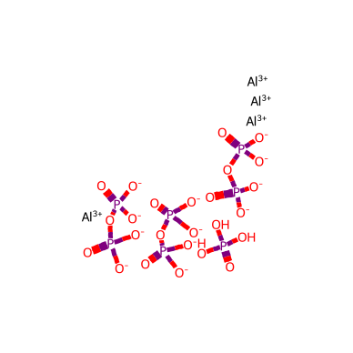 O=P(O)(O)O.O=P([O-])([O-])OP(=O)([O-])[O-].O=P([O-])([O-])OP(=O)([O-])[O-].O=P([O-])([O-])OP(=O)([O-])[O-].[Al+3].[Al+3].[Al+3].[Al+3]